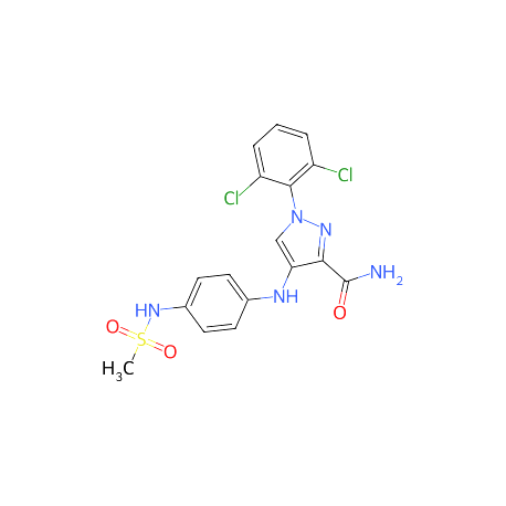 CS(=O)(=O)Nc1ccc(Nc2cn(-c3c(Cl)cccc3Cl)nc2C(N)=O)cc1